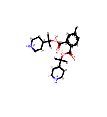 Cc1ccc(C(=O)OC(C)(C)C2CCNCC2)c(C(=O)OC(C)(C)C2CCNCC2)c1